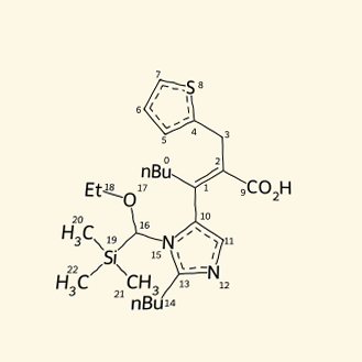 CCCCC(=C(Cc1cccs1)C(=O)O)c1cnc(CCCC)n1C(OCC)[Si](C)(C)C